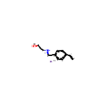 C=Cc1ccc(CNCCO)cc1.I